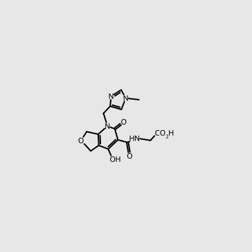 Cn1cnc(Cn2c3c(c(O)c(C(=O)NCC(=O)O)c2=O)COC3)c1